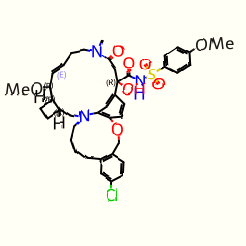 COc1ccc(S(=O)(=O)NC(=O)[C@@]2(O)CC(=O)N(C)CC/C=C/[C@H](OC)[C@@H]3CC[C@H]3CN3CCCCc4cc(Cl)ccc4COc4ccc2cc43)cc1